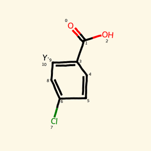 O=C(O)c1ccc(Cl)cc1.[Y]